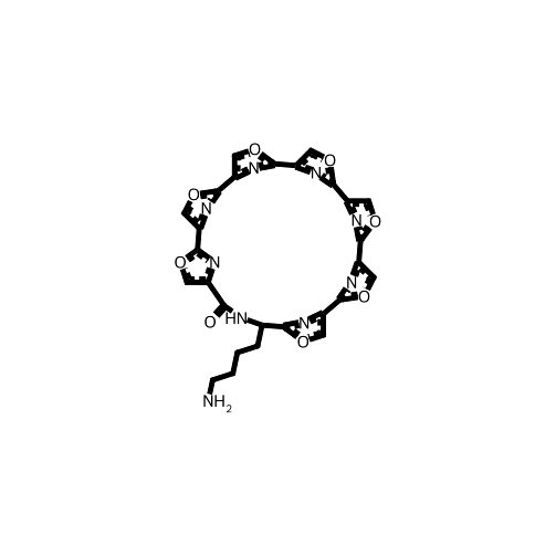 NCCCCC1NC(=O)c2coc(n2)-c2coc(n2)-c2coc(n2)-c2coc(n2)-c2coc(n2)-c2coc(n2)-c2coc1n2